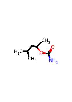 CC(C)CC(C)OC(N)=O